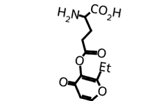 CCc1occc(=O)c1OC(=O)CCC(N)C(=O)O